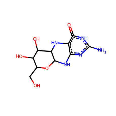 Nc1nc2c(c(=O)[nH]1)NC1C(N2)OC(CO)C(O)C1O